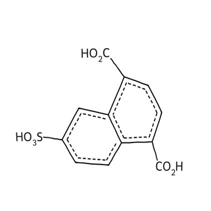 O=C(O)c1ccc(C(=O)O)c2cc(S(=O)(=O)O)ccc12